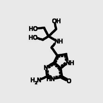 Nc1nc2c(CNC(CO)(CO)CO)c[nH]c2c(=O)[nH]1